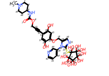 CN1CCC(NC(=O)OCC#Cc2cc(O)c(OCc3cnc(SC4(O)C(O)(O)C(O)(O)C(O)(O)C4(O)O)n3-c3cccnc3)cc2O)CC1